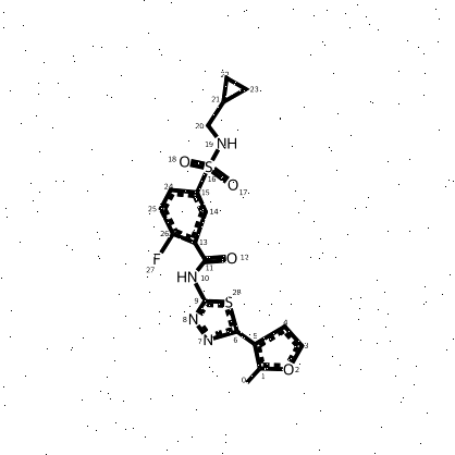 Cc1occc1-c1nnc(NC(=O)c2cc(S(=O)(=O)NCC3CC3)ccc2F)s1